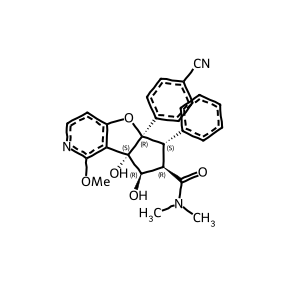 COc1nccc2c1[C@]1(O)[C@H](O)[C@H](C(=O)N(C)C)[C@@H](c3ccccc3)[C@]1(c1ccc(C#N)cc1)O2